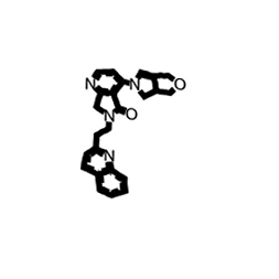 O=C1c2c(N3C=C4COCC4C3)ccnc2CN1CCc1ccc2ccccc2n1